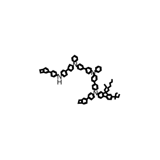 CCCCCCC1(CCC)c2cc(N(c3ccc(-c4ccc(N(c5ccccc5)c5ccc(-c6ccc(N(c7ccccc7)c7ccc(-c8ccc(Nc9ccc(-c%10ccc%11c(c%10)CC%11)cc9)cc8)cc7)cc6)cc5)cc4)cc3)c3ccc(-c4ccc5c(c4)CC5)cc3)ccc2-c2ccc(C(C)(CC)CC)cc21